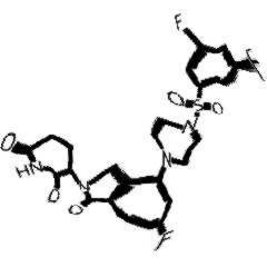 O=C1CCC(N2Cc3c(cc(F)cc3N3CCN(S(=O)(=O)c4cc(F)cc(F)c4)CC3)C2=O)C(=O)N1